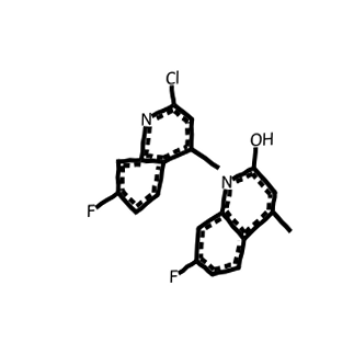 Cc1cc(Cl)nc2cc(F)ccc12.Cc1cc(O)nc2cc(F)ccc12